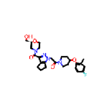 Cc1cc(F)ccc1OC1CCN(C(=O)Cn2nc(C(=O)N3CCO[C@H](CO)C3)c3c2CCC3)CC1